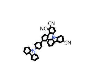 N#Cc1ccc2c(c1)c1ccccc1n2-c1ccc(C#N)c(C#N)c1-c1ccc(-c2ccc(-n3c4ccccc4c4ccccc43)cc2)cc1